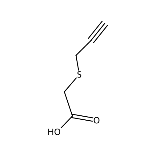 C#CCSCC(=O)O